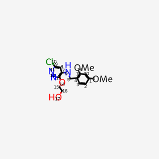 COc1ccc(CNc2cc(Cl)nnc2OCCO)c(OC)c1